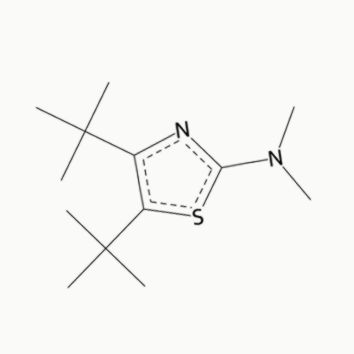 CN(C)c1nc(C(C)(C)C)c(C(C)(C)C)s1